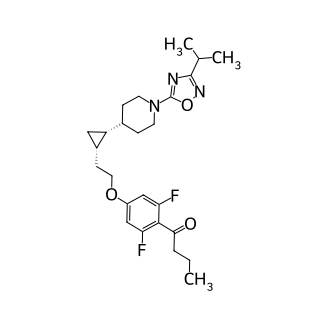 CCCC(=O)c1c(F)cc(OCC[C@@H]2C[C@@H]2C2CCN(c3nc(C(C)C)no3)CC2)cc1F